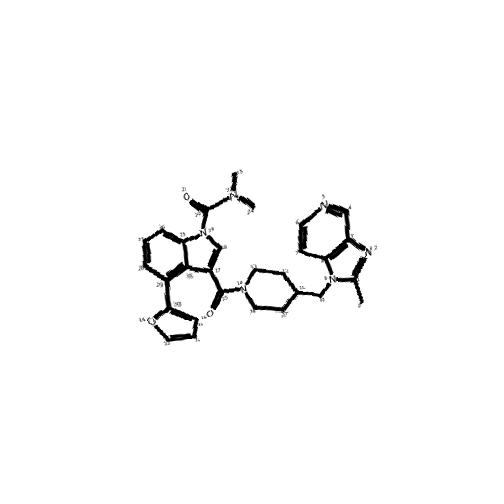 Cc1nc2cnccc2n1CC1CCN(C(=O)c2cn(C(=O)N(C)C)c3cccc(-c4ccco4)c23)CC1